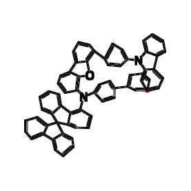 c1ccc(-c2ccc(N(c3cccc4c3-c3ccccc3C43c4ccccc4-c4ccccc43)c3cccc4c3oc3c(-c5ccc(-n6c7ccccc7c7ccccc76)cc5)cccc34)cc2)cc1